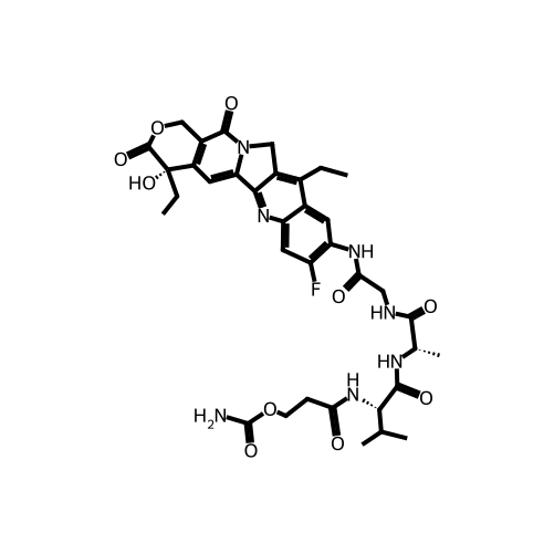 CCc1c2c(nc3cc(F)c(NC(=O)CNC(=O)[C@H](C)NC(=O)[C@@H](NC(=O)CCOC(N)=O)C(C)C)cc13)-c1cc3c(c(=O)n1C2)COC(=O)[C@]3(O)CC